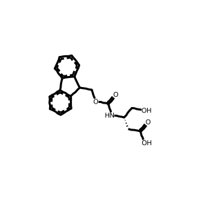 O=C(O)C[C@@H](CO)NC(=O)OCC1c2ccccc2-c2ccccc21